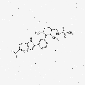 CC1CCC(CNS(C)(=O)=O)C(C)N1c1cc(-c2cnc(/C=C\C(=N)C(F)F)[nH]2)ncn1